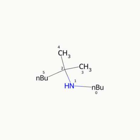 CCCCNC(C)(C)CCCC